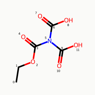 CCOC(=O)N(C(=O)O)C(=O)O